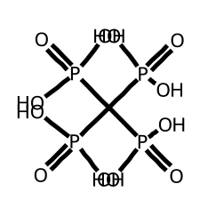 O=P(O)(O)C(P(=O)(O)O)(P(=O)(O)O)P(=O)(O)O